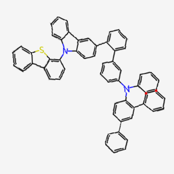 c1ccc(-c2ccc(N(c3ccccc3)c3cccc(-c4ccccc4-c4ccc5c(c4)c4ccccc4n5-c4cccc5c4sc4ccccc45)c3)c(-c3ccccc3)c2)cc1